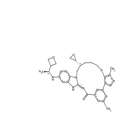 Cc1cc2cc(n1)-c1cnn(C)c1OCCC[C@@H](C1CC1)CN1/C(=N/C2=O)Nc2cc(N[C@@H](C)C3COC3)ccc21